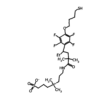 CCC(CC(C)(C)C(=O)NCCC[N+](C)(C)CCCS(=O)(=O)[O-])c1c(F)c(F)c(OCCCCS)c(F)c1F